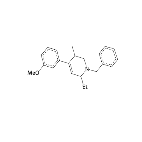 CCC1C=C(c2cccc(OC)c2)C(C)CN1Cc1ccccc1